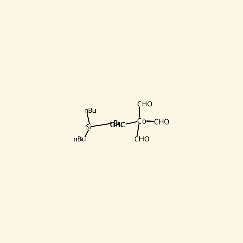 CCCC[Si](CCCC)CCCC.O=[CH][Co]([CH]=O)([CH]=O)[CH]=O